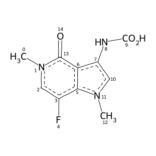 Cn1cc(F)c2c(c(NC(=O)O)cn2C)c1=O